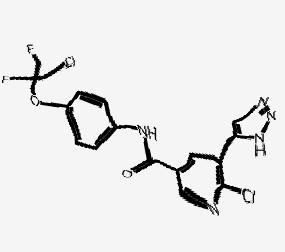 O=C(Nc1ccc(OC(F)(F)Cl)cc1)c1cnc(Cl)c(-c2cnn[nH]2)c1